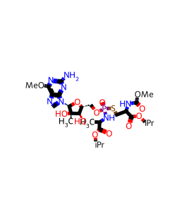 COC(=O)NC(CSP(=O)(NC(C)C(=O)OC(C)C)OC[C@H]1O[C@@H](n2cnc3c(OC)nc(N)nc32)[C@](C)(O)[C@@H]1O)C(=O)OC(C)C